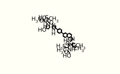 COC(=O)N[C@H](C(=O)N1CC(O)C[C@H]1c1ncc(-c2ccc(-c3ccc4c(ccc5nc([C@@H]6C[Si](C)(C)CN6C(=O)[C@@H](NC(=O)CO)C(C)C)[nH]c54)c3)cc2)[nH]1)C(C)C